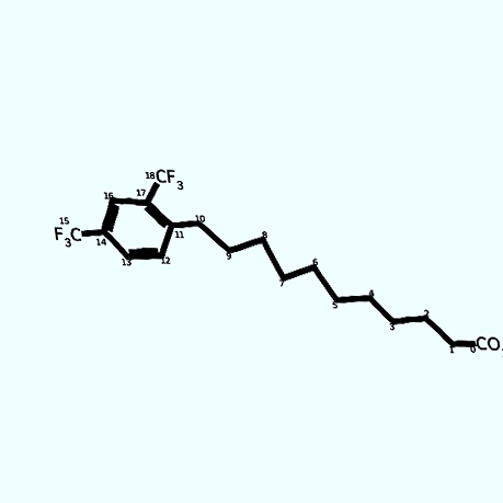 O=C(O)CCCCCCCCCCc1ccc(C(F)(F)F)cc1C(F)(F)F